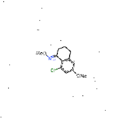 CO/N=C1\CCCc2cc(OC)cc(Cl)c21